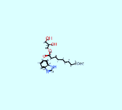 CCCCCCCCCCCCCCCCCC(=O)OCC(O)CO.c1ccc2[nH]cnc2c1